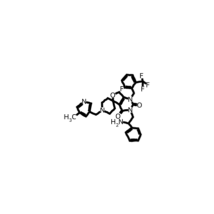 Cc1cncc(CN2CCC3(CC2)OCc2c3c(=O)n(CC(N)c3ccccc3)c(=O)n2Cc2c(F)cccc2C(F)(F)F)c1